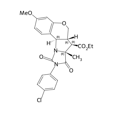 CCOC(=O)[C@@H]1[C@H]2COc3cc(OC)ccc3[C@@H]2N2C(=O)N(c3ccc(Cl)cc3)C(=O)[C@@]12C